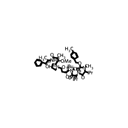 CC[C@H](C)[C@@H]([C@@H](CC(=O)N1CCC[C@H]1[C@H](OC)[C@@H](C)C(=O)N[C@H](C)[C@@H](O)c1ccccc1)OC)N(C)C(=O)[C@@H](NC(=O)C(C(C)C)N(C)C(=O)OCc1ccc(C)cc1)C(C)C